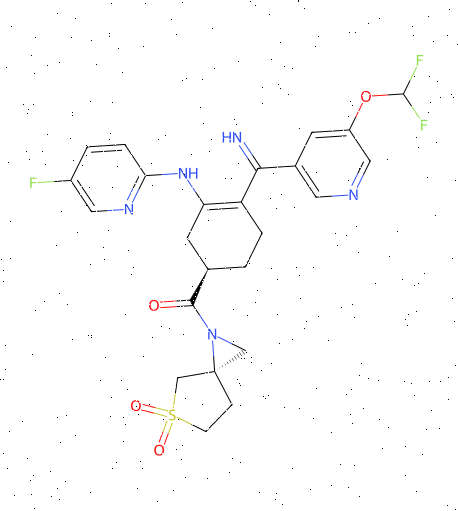 N=C(C1=C(Nc2ccc(F)cn2)C[C@H](C(=O)N2C[C@@]23CCS(=O)(=O)C3)CC1)c1cncc(OC(F)F)c1